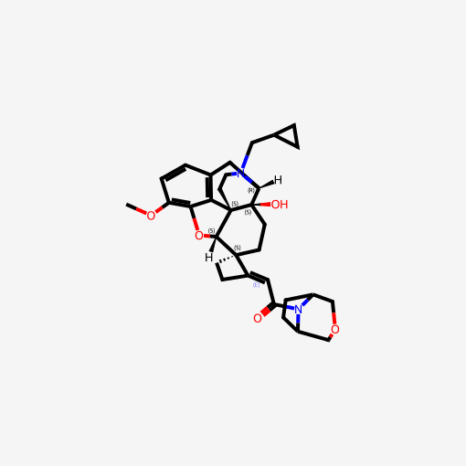 COc1ccc2c3c1O[C@H]1[C@@]4(CC/C4=C\C(=O)N4C5CCC4COC5)CC[C@@]4(O)[C@@H](C2)N(CC2CC2)CC[C@]314